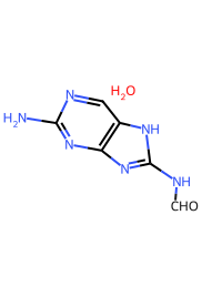 Nc1ncc2[nH]c(NC=O)nc2n1.O